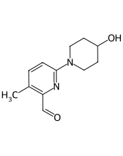 Cc1ccc(N2CCC(O)CC2)nc1C=O